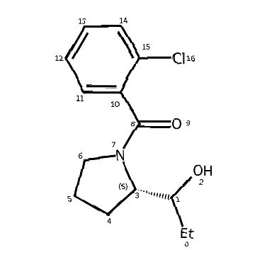 CCC(O)[C@@H]1CCCN1C(=O)c1ccccc1Cl